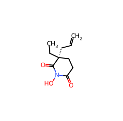 C=CC[C@]1(CC)CCC(=O)N(O)C1=O